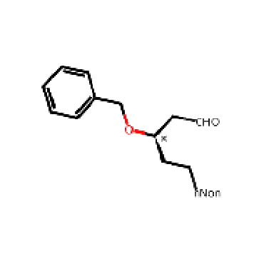 CCCCCCCCCCC[C@H](CC=O)OCc1ccccc1